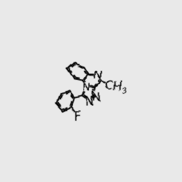 Cc1nc2ccccc2n2c(-c3ccccc3F)nnc12